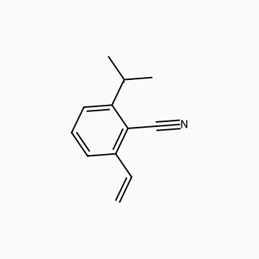 C=Cc1cccc([C](C)C)c1C#N